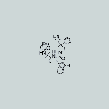 CC(C)(C)OC(=O)NC(C)(C)C(=O)NC(Cc1c[nH]c2ccccc12)C(=O)N1CCC2(CC1)C[C@@H](N)c1ccccc12